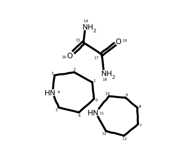 C1CCCNCC1.C1CCCNCC1.NC(=O)C(N)=O